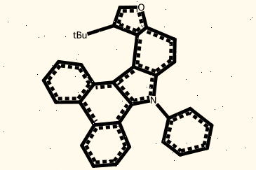 CC(C)(C)c1coc2ccc3c(c12)c1c2ccccc2c2ccccc2c1n3-c1ccccc1